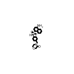 Nc1ccc(S(=O)(=O)Nc2ccc(CN3CCOCC3=O)cc2)c2ccccc12